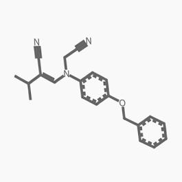 CC(C)/C(C#N)=C/N(CC#N)c1ccc(OCc2ccccc2)cc1